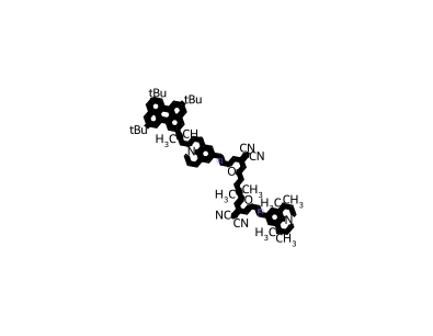 CC(C)(CCC1CC(=C(C#N)C#N)CC(/C=C/c2cc3c4c(c2)CCC(CC(C)(C)c2cc5cc(C(C)(C)C)cc6c7cc(C(C)(C)C)cc8cc(C(C)(C)C)cc(c(c2)c56)c87)N4CCC3)O1)C1=CC(=C(C#N)C#N)C=C(/C=C/c2cc3c4c(c2)C(C)(C)CCN4CCC3(C)C)O1